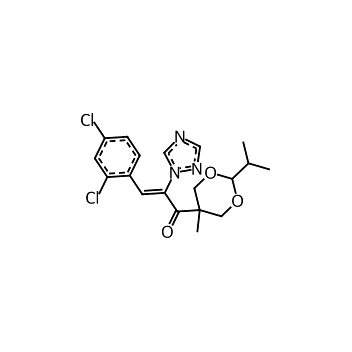 CC(C)C1OCC(C)(C(=O)C(=Cc2ccc(Cl)cc2Cl)n2cncn2)CO1